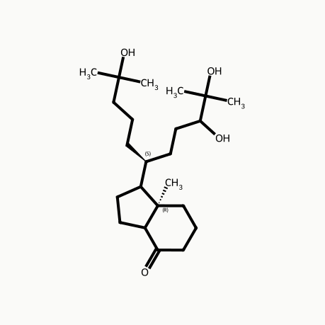 CC(C)(O)CCC[C@@H](CCC(O)C(C)(C)O)C1CCC2C(=O)CCC[C@@]21C